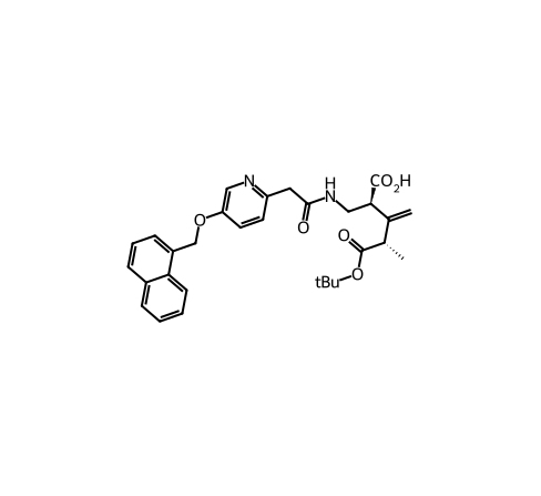 C=C([C@H](C)C(=O)OC(C)(C)C)[C@@H](CNC(=O)Cc1ccc(OCc2cccc3ccccc23)cn1)C(=O)O